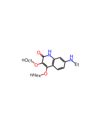 CCCCCCCCOc1c(OCCCCCC)c2ccc(NCC)cc2[nH]c1=O